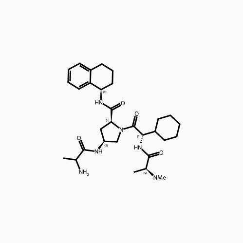 CN[C@@H](C)C(=O)N[C@H](C(=O)N1C[C@@H](NC(=O)C(C)N)C[C@H]1C(=O)N[C@@H]1CCCc2ccccc21)C1CCCCC1